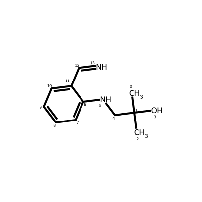 CC(C)(O)CNc1ccccc1C=N